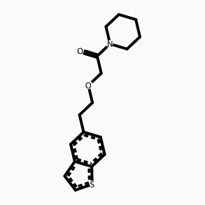 O=C(COCCc1ccc2sccc2c1)N1CCCCC1